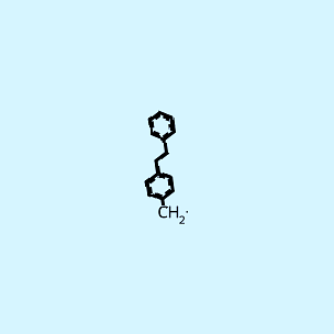 [CH2]c1ccc(CCc2ccccc2)cc1